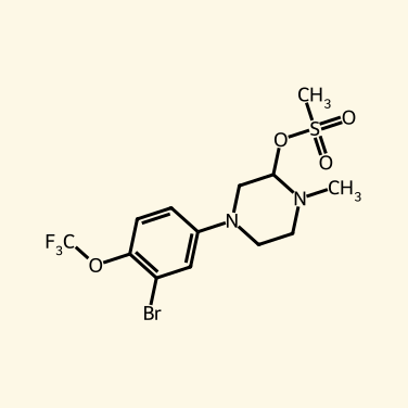 CN1CCN(c2ccc(OC(F)(F)F)c(Br)c2)CC1OS(C)(=O)=O